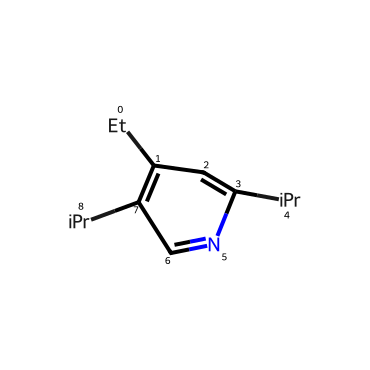 CCc1cc(C(C)C)ncc1C(C)C